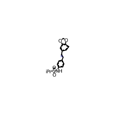 CC(C)S(=O)(=O)Nc1ccc(/C=C/c2ccc3c(c2)OCO3)cc1